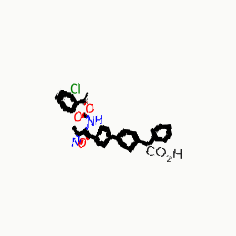 Cc1noc(-c2ccc(-c3ccc(C(C(=O)O)c4ccccc4)cc3)cc2)c1NC(=O)O[C@H](C)c1ccccc1Cl